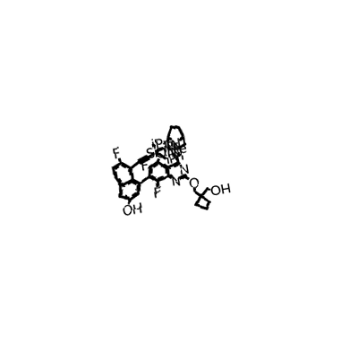 COc1c(F)c(-c2cc(O)cc3ccc(F)c(C#C[Si](C(C)C)(C(C)C)C(C)C)c23)c(F)c2nc(OCC3(CO)CCC3)nc(N3CC4CCC(C3)N4)c12